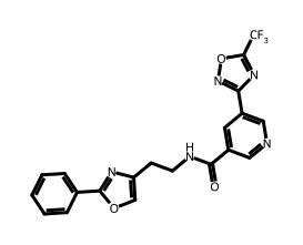 O=C(NCCc1coc(-c2ccccc2)n1)c1cncc(-c2noc(C(F)(F)F)n2)c1